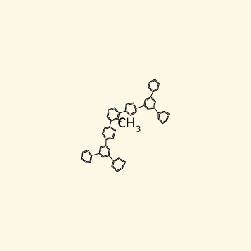 Cc1c(-c2ccc(-c3cc(-c4ccccc4)cc(-c4ccccc4)c3)cc2)cccc1-c1ccc(-c2cc(-c3ccccc3)cc(-c3ccccc3)c2)cc1